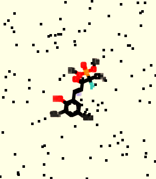 CCOP(=O)(OCC)C(C)(F)C(=O)/C=C/c1cc(C(C)(C)C)cc(C(C)(C)C)c1O